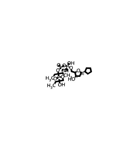 CCC1(O)COP1(=O)C(CC)(CC)OP(=O)(O)OP(=O)(O)OCC1O[C@@H](C2CCCC2)C[C@H]1O